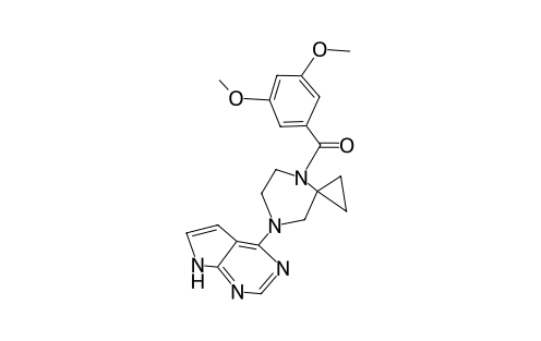 COc1cc(OC)cc(C(=O)N2CCN(c3ncnc4[nH]ccc34)CC23CC3)c1